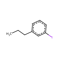 CCCc1[c]ccc(I)c1